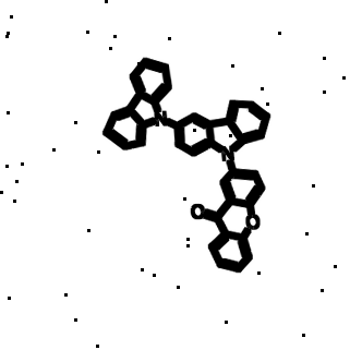 O=c1c2ccccc2oc2ccc(-n3c4ccccc4c4cc(-n5c6ccccc6c6ccccc65)ccc43)cc12